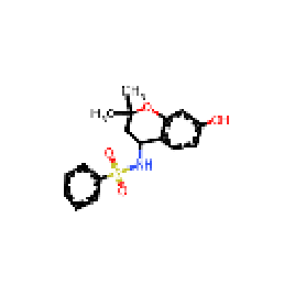 CC1(C)CC(NS(=O)(=O)c2ccccc2)c2ccc(O)cc2O1